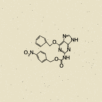 O=C(Nc1nc(OCc2ccccc2)c2nc[nH]c2n1)OCc1ccc([N+](=O)[O-])cc1